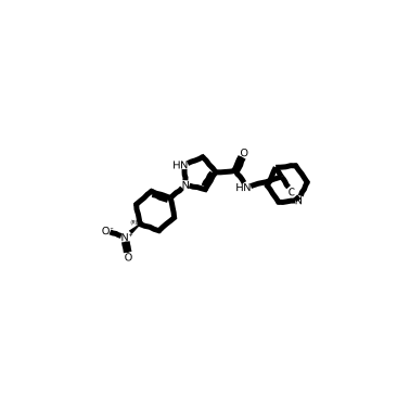 O=C(NC1CN2CCC1CC2)C1=CN(C2=CC[C@H]([N+](=O)[O-])CC2)NC1